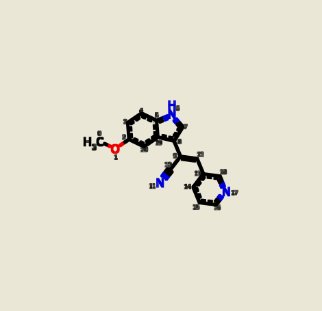 COc1ccc2[nH]cc(/C(C#N)=C/c3cccnc3)c2c1